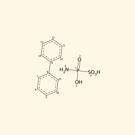 NP(=O)(O)S(=O)(=O)O.c1ccc(-c2ccccc2)cc1